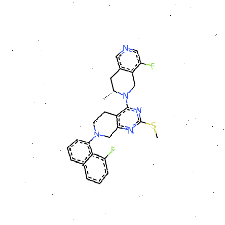 CSc1nc2c(c(N3Cc4c(F)cncc4C[C@H]3C)n1)CCN(c1cccc3cccc(F)c13)C2